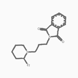 CCC1CCCCN1CCCN1C(=O)c2ccccc2C1=O